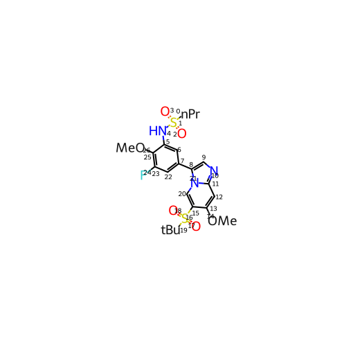 CCCS(=O)(=O)Nc1cc(-c2cnc3cc(OC)c(S(=O)(=O)C(C)(C)C)cn23)cc(F)c1OC